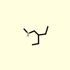 CCC(CC)CNC